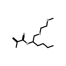 C=C(C)C(=O)OC(CCCC)COCCOC